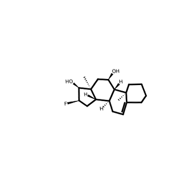 C[C@]12C[C@@H](O)[C@H]3[C@@H](CC=C4CCCC[C@@]43C)[C@@H]1C[C@@H](F)[C@H]2O